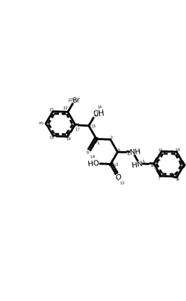 C=C(CC(NNc1ccccc1)C(=O)O)C(O)c1ccccc1Br